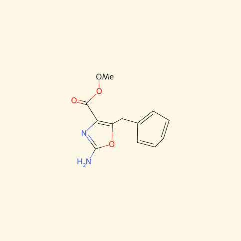 COOC(=O)c1nc(N)oc1Cc1ccccc1